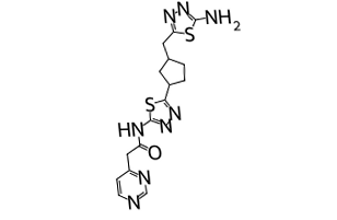 Nc1nnc(CC2CCC(c3nnc(NC(=O)Cc4ccncn4)s3)C2)s1